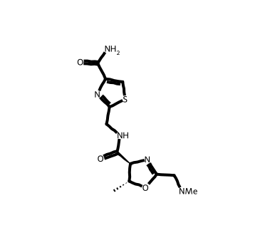 CNCC1=N[C@H](C(=O)NCc2nc(C(N)=O)cs2)[C@@H](C)O1